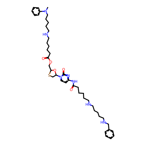 CN(CCCCCNCCCCCC(=O)OCC1OC(n2ccc(NC(=O)CCCCCNCCCCCNCc3ccccc3)nc2=O)CS1)c1ccccc1